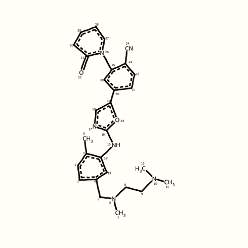 Cc1ccc(CN(C)CCN(C)C)cc1Nc1ncc(-c2ccc(C#N)c(-n3ccccc3=O)c2)o1